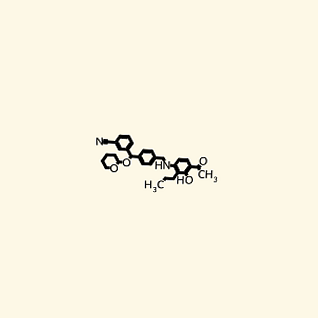 CCCc1c(NCc2ccc(C(OC3CCCCO3)c3cccc(C#N)c3)cc2)ccc(C(C)=O)c1O